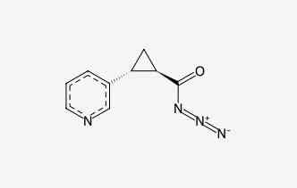 [N-]=[N+]=NC(=O)[C@@H]1C[C@H]1c1cccnc1